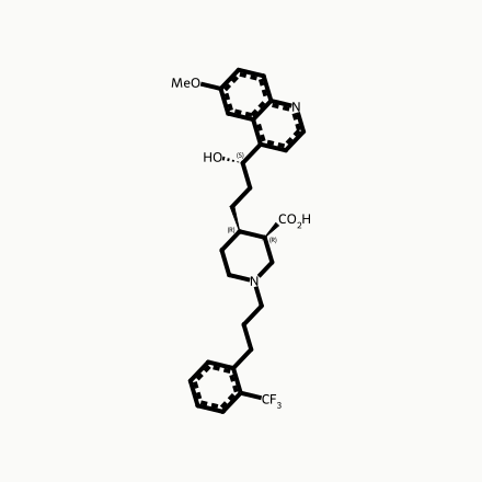 COc1ccc2nccc([C@@H](O)CC[C@@H]3CCN(CCCc4ccccc4C(F)(F)F)C[C@@H]3C(=O)O)c2c1